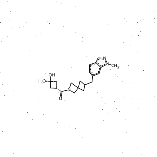 Cn1ncc2ccc(CC3CC4(C3)CN(C(=O)[C@H]3C[C@@](C)(O)C3)C4)cc21